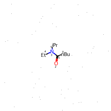 CCCCC(=O)N(CC)C(C)C